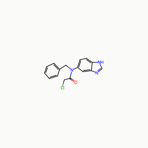 O=C(CCl)N(Cc1ccccc1)c1ccc2[nH]cnc2c1